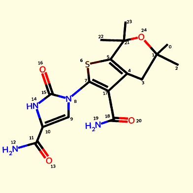 CC1(C)Cc2c(sc(-n3cc(C(N)=O)[nH]c3=O)c2C(N)=O)C(C)(C)O1